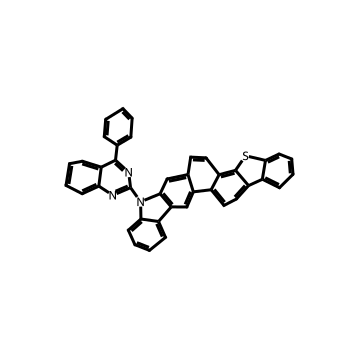 c1ccc(-c2nc(-n3c4ccccc4c4cc5c(ccc6c5ccc5c7ccccc7sc56)cc43)nc3ccccc23)cc1